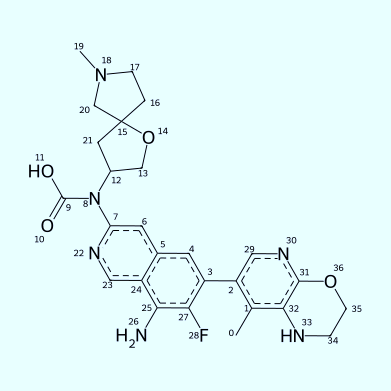 Cc1c(-c2cc3cc(N(C(=O)O)C4COC5(CCN(C)C5)C4)ncc3c(N)c2F)cnc2c1NCCO2